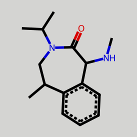 CNC1C(=O)N(C(C)C)CC(C)c2ccccc21